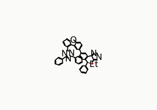 CC[C@@H](c1ccccc1)c1ccc(-c2ccc3oc4cccc(-c5nc(-c6ccccc6)nc(-c6ccccc6)n5)c4c3c2)cc1-c1ncncc1C